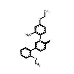 CCOc1ccc(-n2cc(-c3ccccc3OC)ccc2=O)c(C)c1